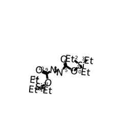 CC[Si](CC)(CC)OC(=O)N=NC(=O)O[Si](CC)(CC)CC